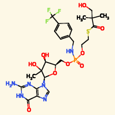 CC(C)(CO)C(=O)SCCOP(=O)(NCc1ccc(C(F)(F)F)cc1)OC[C@H]1O[C@@H](n2cnc3c(=O)[nH]c(N)nc32)C(C)(O)[C@H]1O